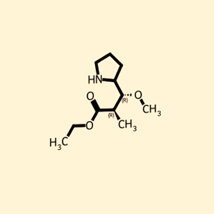 CCOC(=O)[C@H](C)[C@@H](OC)C1CCCN1